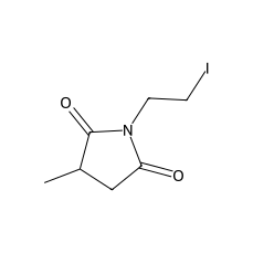 CC1CC(=O)N(CCI)C1=O